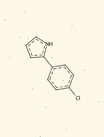 Clc1ccc(-c2c[c]c[nH]2)cc1